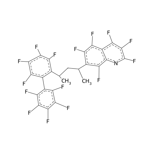 CC(CC(C)c1c(F)c(F)c2c(F)c(F)c(F)nc2c1F)c1c(F)c(F)c(F)c(F)c1-c1c(F)c(F)c(F)c(F)c1F